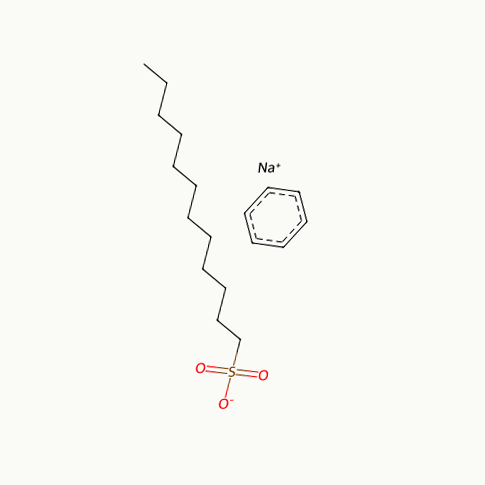 CCCCCCCCCCCCS(=O)(=O)[O-].[Na+].c1ccccc1